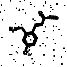 CNC(=O)/C=C/c1ccc(C(F)(F)F)cc1CN